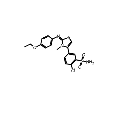 CCOc1ccc(N=c2scc(-c3ccc(Cl)c(S(N)(=O)=O)c3)n2C)cc1